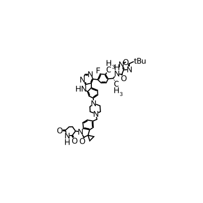 Cc1c([C@@H](C)NC(=O)c2noc(C(C)(C)C)n2)ccc(-c2ncnc3[nH]c4cc(N5CCN(Cc6ccc7c(c6)C6(CC6)C(=O)N7C6CCC(=O)NC6=O)CC5)ccc4c23)c1F